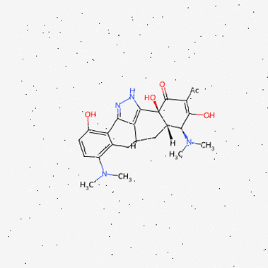 CC(=O)C1=C(O)[C@@H](N(C)C)[C@@H]2C[C@@H]3Cc4c(N(C)C)ccc(O)c4-c4n[nH]c(c43)[C@]2(O)C1=O